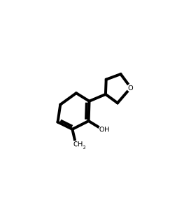 CC1=CCCC(C2CCOC2)=C1O